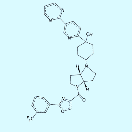 O=C(c1coc(-c2cccc(C(F)(F)F)c2)n1)N1CC[C@H]2[C@@H]1CCN2C1CCC(O)(c2ccc(-c3ncccn3)cn2)CC1